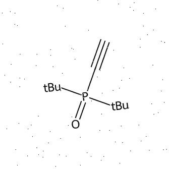 C#CP(=O)(C(C)(C)C)C(C)(C)C